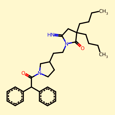 CCCCC1(CCCC)CC(=N)N(CCC2CCN(C(=O)C(c3ccccc3)c3ccccc3)C2)C1=O